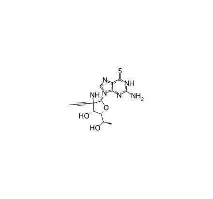 CC#CC1(N)[C@@H](O)[C@@H]([C@@H](C)O)O[C@H]1n1cnc2c(=S)[nH]c(N)nc21